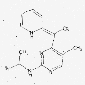 Cc1cnc(NC(C)C(C)C)nc1/C(C#N)=C1/C=CC=CN1